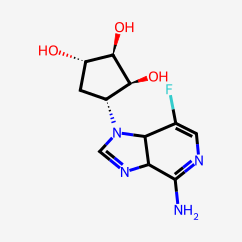 NC1=NC=C(F)C2C1N=CN2[C@@H]1C[C@H](O)[C@@H](O)[C@H]1O